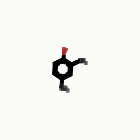 Cc1cc([N+](=O)[O-])c[c]c1Br